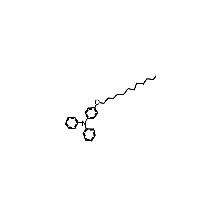 CCCCCCCCCCCCOc1ccc(N(c2ccccc2)c2ccccc2)cc1